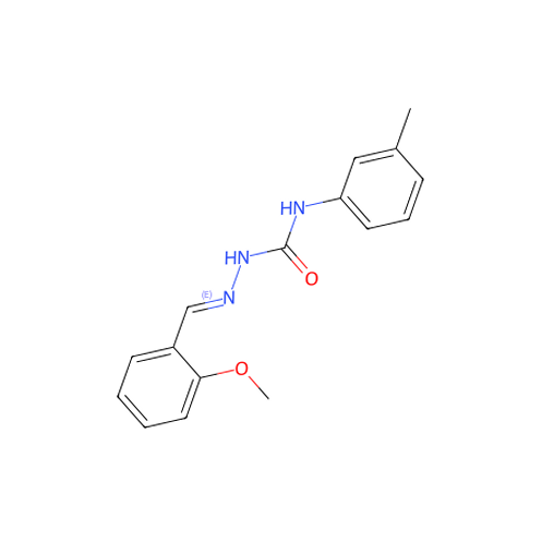 COc1ccccc1/C=N/NC(=O)Nc1cccc(C)c1